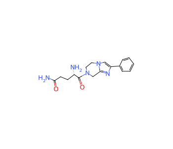 NC(=O)CC[C@H](N)C(=O)N1CCn2cc(-c3ccccc3)nc2C1